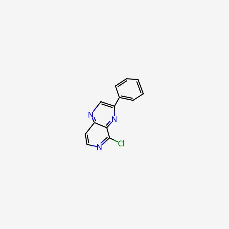 Clc1nccc2ncc(-c3ccccc3)nc12